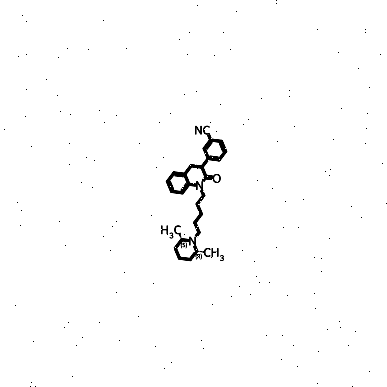 C[C@@H]1CCC[C@H](C)N1CCCCCN1C(=O)C(c2cccc(C#N)c2)Cc2ccccc21